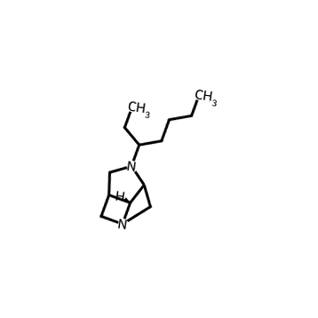 CCCCC(CC)N1CC2CN3CC1[C@@H]23